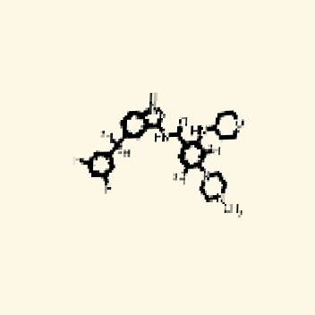 [2H]c1cc(C(=O)Nc2n[nH]c3ccc(C([2H])([2H])c4cc(F)cc(F)c4)cc23)c(NC2CCOCC2)c([2H])c1N1CCN(C)CC1